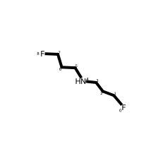 FCCCNCCCF